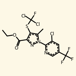 CCOC(=O)c1nn(-c2ncc(C(F)(F)F)cc2Cl)c(C)c1SC(F)(Cl)Cl